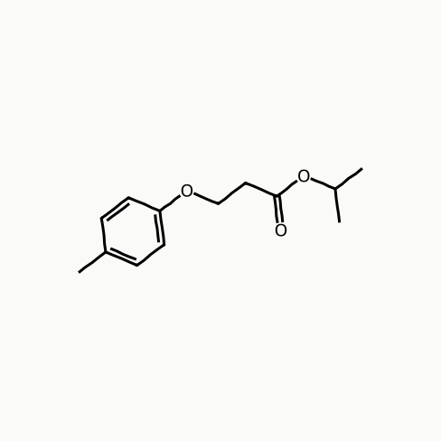 Cc1ccc(OCCC(=O)OC(C)C)cc1